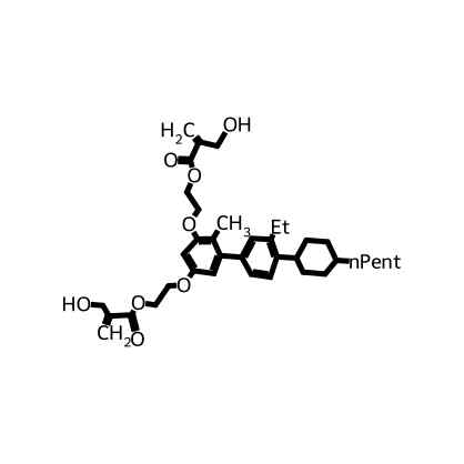 C=C(CO)C(=O)OCCOc1cc(OCCOC(=O)C(=C)CO)c(C)c(-c2ccc(C3CCC(CCCCC)CC3)c(CC)c2)c1